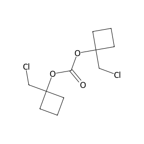 O=C(OC1(CCl)CCC1)OC1(CCl)CCC1